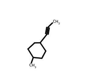 CC#CC1CCC(C)CC1